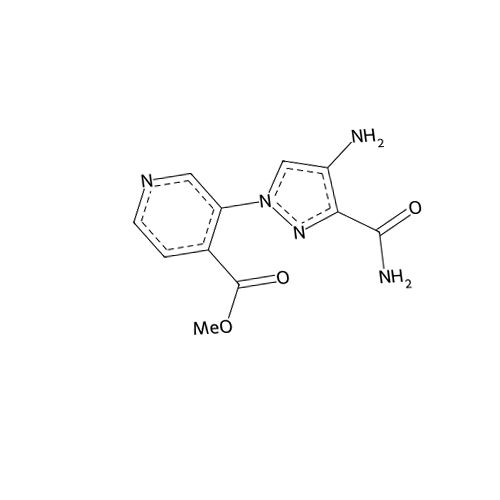 COC(=O)c1ccncc1-n1cc(N)c(C(N)=O)n1